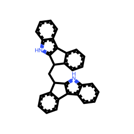 c1ccc2c(c1)-c1c([nH]c3ccccc13)C2CC1c2ccccc2-c2c1[nH]c1ccccc21